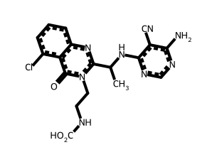 CC(Nc1ncnc(N)c1C#N)c1nc2cccc(Cl)c2c(=O)n1CCNC(=O)O